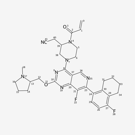 C=CC(=O)N1CCN(c2nc(OCC3CCCN3C)nc3c(F)c(-c4ccc(F)c5c4CCCC5)ncc23)CC1CC#N